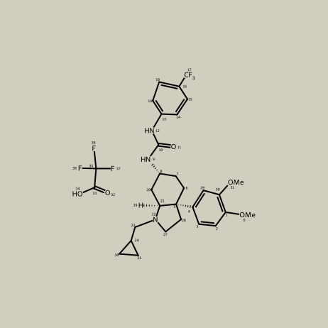 COc1ccc([C@@]23CC[C@@H](NC(=O)Nc4ccc(C(F)(F)F)cc4)C[C@@H]2N(CC2CC2)CC3)cc1OC.O=C(O)C(F)(F)F